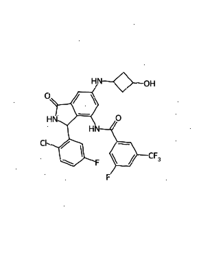 O=C(Nc1cc(NC2CC(O)C2)cc2c1C(c1cc(F)ccc1Cl)NC2=O)c1cc(F)cc(C(F)(F)F)c1